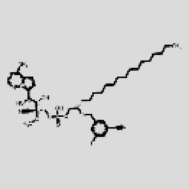 CCCCCCCCCCCCCCCC[C@@H](COP(=O)(O)OC[C@@](C#N)(OC)[C@@H](O)[C@@H](O)c1ccc2c(N)ncnn12)OCc1cc(F)cc(C#N)c1